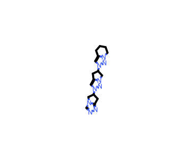 c1nnc2n1CC([n+]1cc3n(n1)CC([n+]1cc4n(n1)CCCC4)C3)C2